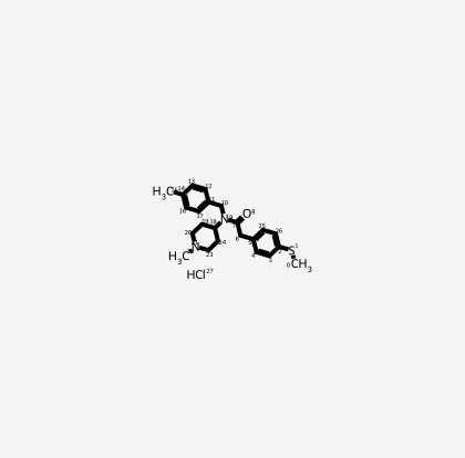 CSc1ccc(CC(=O)N(Cc2ccc(C)cc2)C2CCN(C)CC2)cc1.Cl